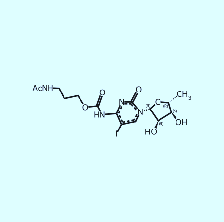 CC(=O)NCCCOC(=O)Nc1nc(=O)n([C@@H]2O[C@H](C)[C@@H](O)[C@H]2O)cc1I